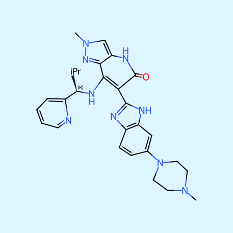 CC(C)[C@@H](Nc1c(-c2nc3ccc(N4CCN(C)CC4)cc3[nH]2)c(=O)[nH]c2cn(C)nc12)c1ccccn1